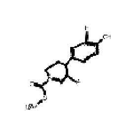 CC(C)(C)OC(=O)N1CCC(c2ccc(O)c(F)c2)C(F)C1